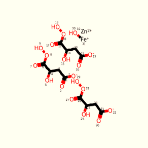 O=C([O-])CC(O)C(=O)OO.O=C([O-])CC(O)C(=O)OO.O=C([O-])CC(O)C(=O)OO.[OH][Fe+].[Zn+2]